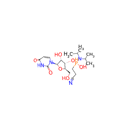 CC(C)N(C(C)C)[PH](O)(CCC#N)O[C@H]1[C@@H](O)[C@H](n2ccc(=O)[nH]c2=O)O[C@@H]1CO